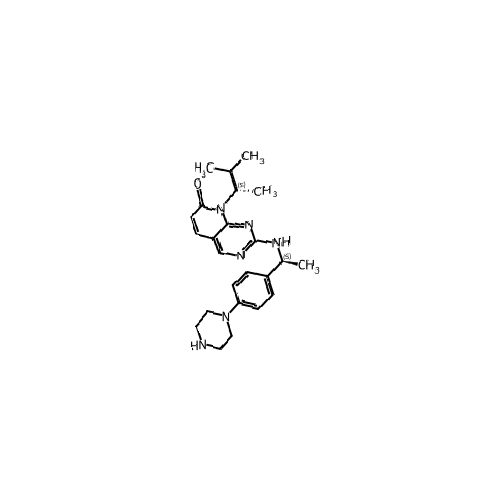 CC(C)[C@H](C)n1c(=O)ccc2cnc(N[C@@H](C)c3ccc(N4CCNCC4)cc3)nc21